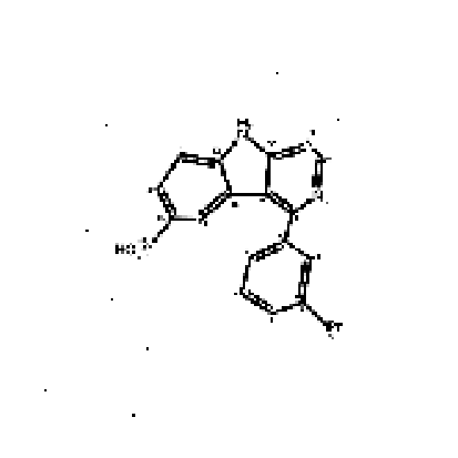 CC(C)c1cccc(-c2ncnc3[nH]c4ccc(C(=O)O)cc4c23)c1